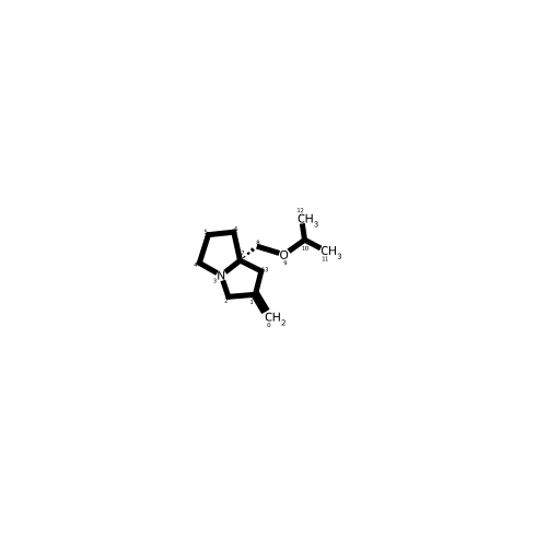 C=C1CN2CCC[C@@]2(COC(C)C)C1